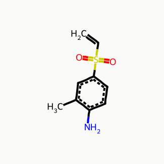 C=CS(=O)(=O)c1ccc(N)c(C)c1